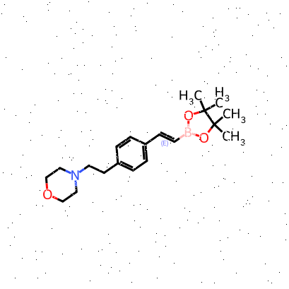 CC1(C)OB(/C=C/c2ccc(CCN3CCOCC3)cc2)OC1(C)C